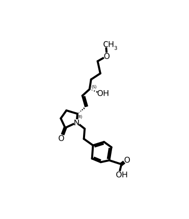 COCCC[C@H](O)C=C[C@H]1CCC(=O)N1CCc1ccc(C(=O)O)cc1